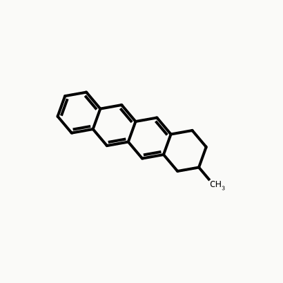 CC1CCc2cc3cc4ccccc4cc3cc2C1